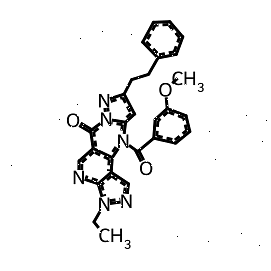 CCn1ncc2c1ncc1c(=O)n3nc(CCc4ccccc4)cc3n(C(=O)c3cccc(OC)c3)c12